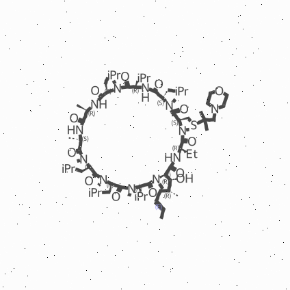 C/C=C/C[C@@H](C)[C@@H](O)[C@@H]1C(=O)N[C@H](CC)C(=O)N(C)[C@H](CSC(C)(C)CN2CCOCC2)C(=O)N(C)[C@@H](CC(C)C)C(=O)N[C@H](C(C)C)C(=O)N(C)[C@H](CC(C)C)C(=O)N[C@H](C)C(=O)N[C@@H](C)C(=O)N(C)[C@H](CC(C)C)C(=O)N(C)[C@H](CC(C)C)C(=O)N(C)[C@H](C(C)C)C(=O)N1C